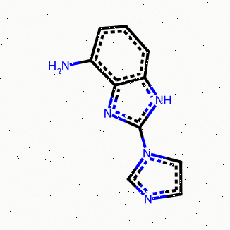 Nc1cccc2[nH]c(-n3ccnc3)nc12